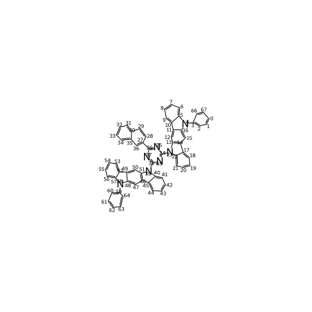 c1ccc(-n2c3ccccc3c3cc4c(cc32)c2ccccc2n4-c2nc(-c3ccc4ccccc4c3)nc(-n3c4ccccc4c4cc5c(cc43)c3ccccc3n5-c3ccccc3)n2)cc1